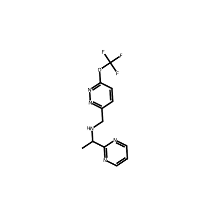 CC(NCc1ccc(OC(F)(F)F)nn1)c1ncccn1